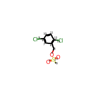 CS(=O)(=O)OCc1cc(Cl)ccc1Cl